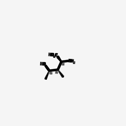 C[C@H]([C@H](C)O)[C@H](N)C(=O)O